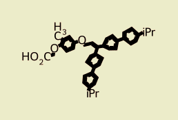 Cc1cc(OCC=C(c2ccc(-c3ccc(C(C)C)cc3)cc2)c2ccc(-c3ccc(C(C)C)cc3)cc2)ccc1OCC(=O)O